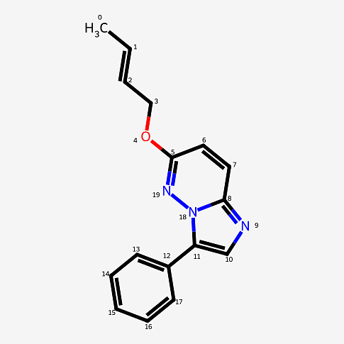 CC=CCOc1ccc2ncc(-c3ccccc3)n2n1